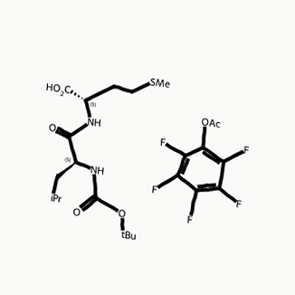 CC(=O)Oc1c(F)c(F)c(F)c(F)c1F.CSCC[C@H](NC(=O)[C@H](CC(C)C)NC(=O)OC(C)(C)C)C(=O)O